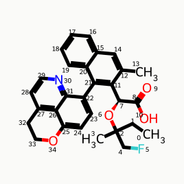 CCC(C)(CF)O[C@H](C(=O)O)c1c(C)cc2ccccc2c1-c1ccc2c3c(ccnc13)CCO2